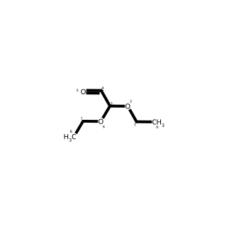 CCOC([C]=O)OCC